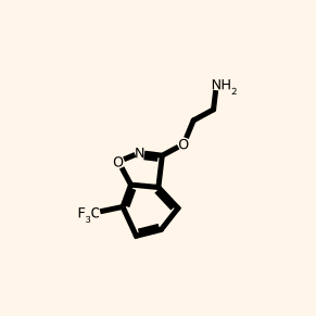 NCCOc1noc2c(C(F)(F)F)cccc12